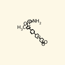 Cc1cc(-c2ccc(C3CCN(C4CCS(=O)(=O)CC4)CC3)cc2)sc1C(=O)N1CC[C@H](N)C1